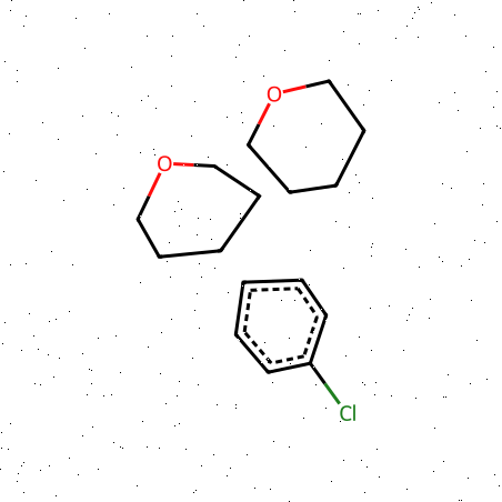 C1CCOCC1.C1CCOCC1.Clc1ccccc1